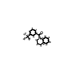 O=C(c1cccc(C(F)(F)F)c1)N1CCCc2c[c]ccc21